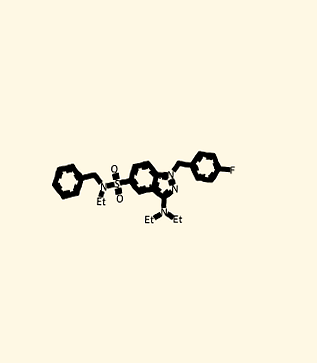 CCN(CC)c1nn(Cc2ccc(F)cc2)c2ccc(S(=O)(=O)N(CC)Cc3ccccc3)cc12